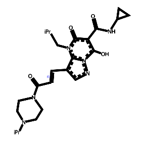 CC(C)Cn1c(=O)c(C(=O)NC2CC2)c(O)n2ncc(/C=C/C(=O)N3CCN(C(C)C)CC3)c12